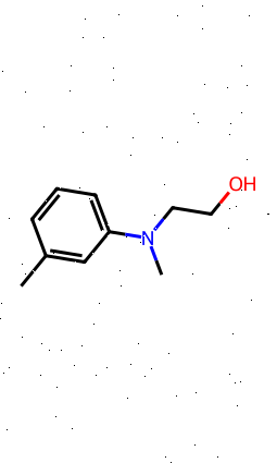 Cc1cccc(N(C)CCO)c1